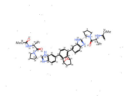 C=C(N[C@H](C(=O)N1CCC[C@H]1c1nc2ccc(-c3ccc(-c4ccc5nc([C@@H]6CCCN6C(=O)[C@@H](NC(=O)OC)C(C)C)[nH]c5c4)c4c3C3CCC4O3)cc2[nH]1)C(C)C)OC